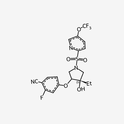 CC[C@]1(O)CN(S(=O)(=O)c2ccc(OC(F)(F)F)cn2)CC1Oc1ccc(C#N)c(F)c1